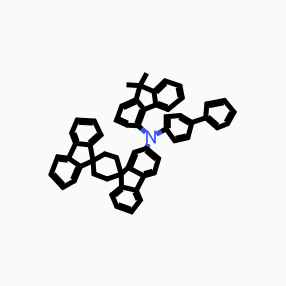 CC1(C)c2ccccc2-c2c(N(c3ccc(-c4ccccc4)cc3)c3ccc4c(c3)C3(CCC5(CC3)c3ccccc3-c3ccccc35)c3ccccc3-4)cccc21